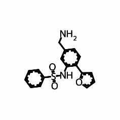 NCc1ccc(-c2ccco2)c(NS(=O)(=O)c2ccccc2)c1